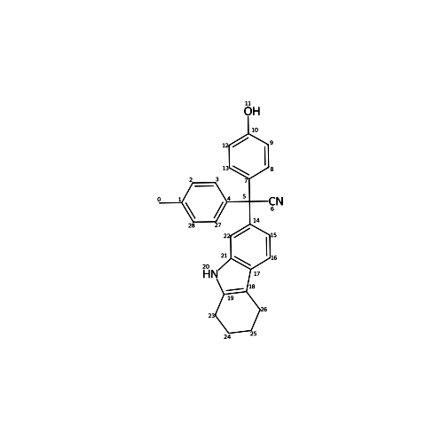 Cc1ccc(C(C#N)(c2ccc(O)cc2)c2ccc3c4c([nH]c3c2)CCCC4)cc1